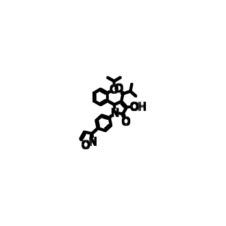 CC(C)Oc1ccccc1C1C(C(=O)C(C)C)=C(O)C(=O)N1c1ccc(-c2ccon2)cc1